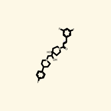 O=C(/C=C/c1cc(F)cc(F)c1)N1CCC(O)(C(O)CN2CCC(c3ccc(F)cc3)CC2)CC1